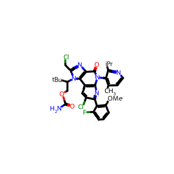 COc1cccc(F)c1-c1nc2c(cc1Cl)c1c(nc(CCl)n1C(COC(N)=O)C(C)(C)C)c(=O)n2-c1c(C)ccnc1C(C)C